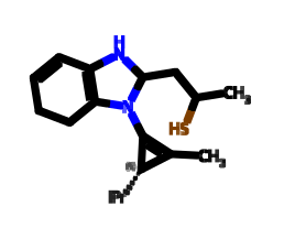 CC1=C(N2C3=C(C=CCC3)NC2CC(C)S)[C@H]1C(C)C